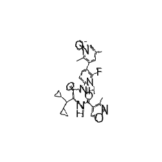 Cc1cc(-c2ccc(NC(=O)[C@@H](NC(=O)c3conc3C)C(C3CC3)C3CC3)nc2F)c(C)[n+]([O-])c1